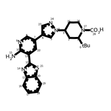 CC(C)(C)C1CC(n2cc(-c3cnc(N)c(-c4nc5ccccc5s4)c3)cn2)CCN1C(=O)O